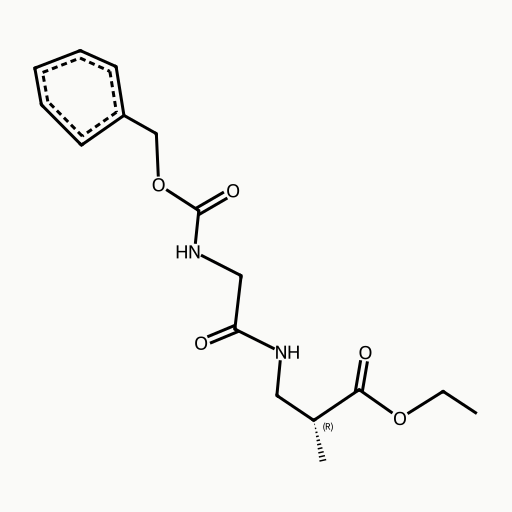 CCOC(=O)[C@H](C)CNC(=O)CNC(=O)OCc1ccccc1